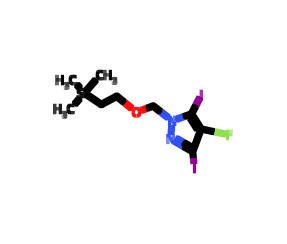 C[Si](C)(C)CCOCn1nc(I)c(F)c1I